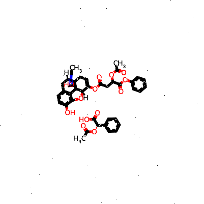 CC(=O)OC(CC(=O)OC1=CC[C@@]2(O)[C@H]3Cc4ccc(O)c5c4[C@@]2(CCN3C)[C@H]1O5)C(=O)Oc1ccccc1.CC(=O)O[C@H](C(=O)O)c1ccccc1